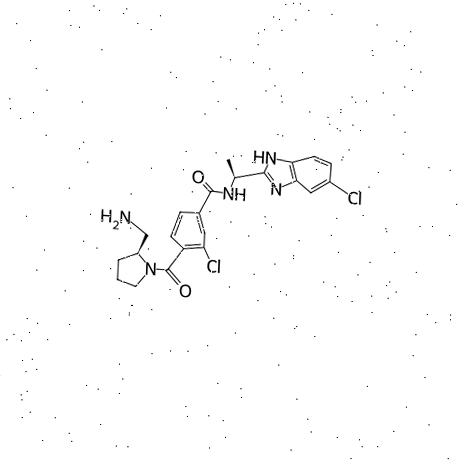 C[C@H](NC(=O)c1ccc(C(=O)N2CCC[C@H]2CN)c(Cl)c1)c1nc2cc(Cl)ccc2[nH]1